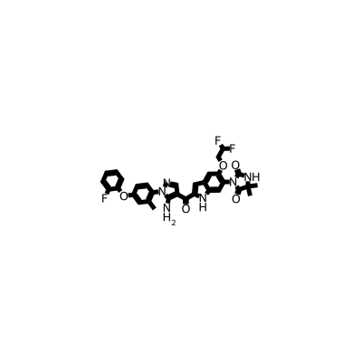 Cc1cc(Oc2ccccc2F)ccc1-n1ncc(C(=O)c2cc3cc(OCC(F)F)c(N4C(=O)NC(C)(C)C4=O)cc3[nH]2)c1N